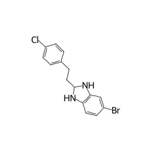 Clc1ccc(CCC2Nc3ccc(Br)cc3N2)cc1